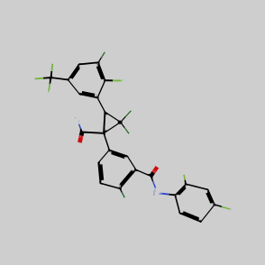 NC(=O)C1(c2ccc(Cl)c(C(=O)Nc3ccc(F)cc3F)c2)C(c2cc(C(F)(F)F)cc(Cl)c2F)C1(Cl)Cl